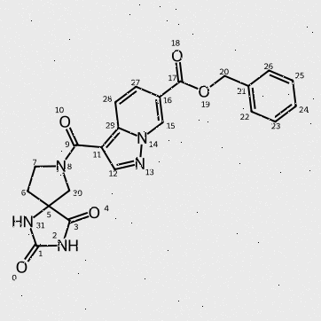 O=C1NC(=O)C2(CCN(C(=O)c3cnn4cc(C(=O)OCc5ccccc5)ccc34)C2)N1